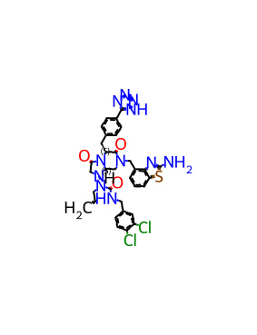 C=CCN(C(=O)NCc1ccc(Cl)c(Cl)c1)N1CC(=O)N2[C@@H](Cc3ccc(-c4nnn[nH]4)cc3)C(=O)N(Cc3cccc4sc(N)nc34)C[C@@H]21